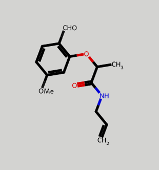 C=CCNC(=O)C(C)Oc1cc(OC)ccc1C=O